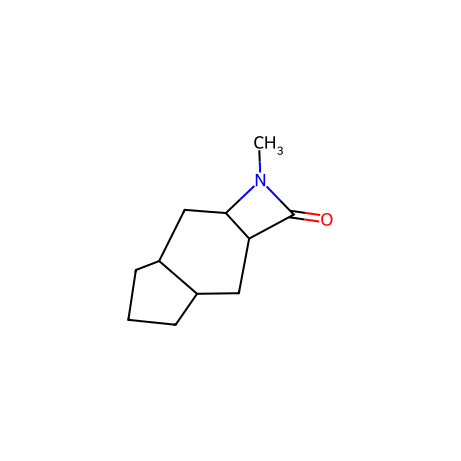 CN1C(=O)C2CC3CCCC3CC21